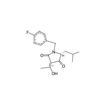 C/C(O)=C1/C(=O)[C@@H](CC(C)C)N(Cc2ccc(F)cc2)C1=O